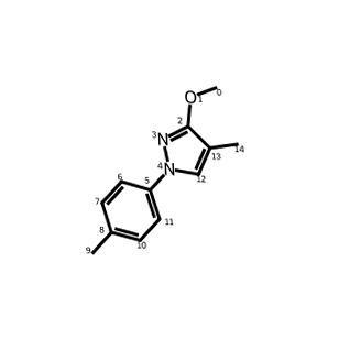 COc1nn(-c2ccc(C)cc2)cc1C